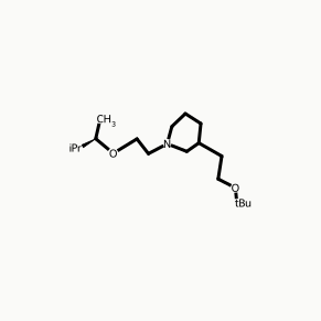 CC(C)[C@@H](C)OCCN1CCCC(CCOC(C)(C)C)C1